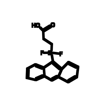 O=C(O)CC[Si](F)(F)c1c2ccccc2cc2ccccc12